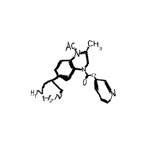 CC(=O)N1c2ccc(C(CN)CN)cc2N(C(=O)Oc2cccnc2)C[C@@H]1C